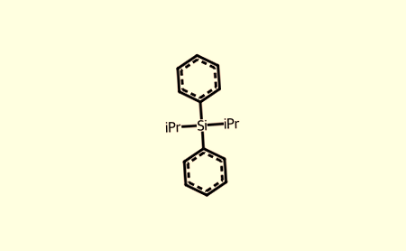 CC(C)[Si](c1ccccc1)(c1ccccc1)C(C)C